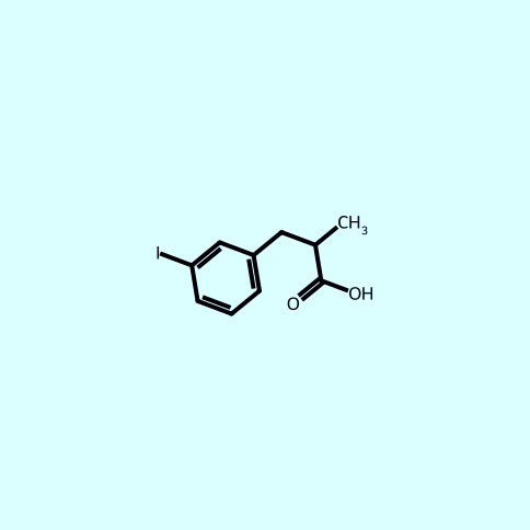 CC(Cc1cccc(I)c1)C(=O)O